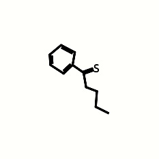 CCCCC(=S)c1ccccc1